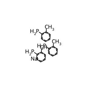 Cc1ccccc1P.Cc1ccccc1P.Cc1ccccc1P.[Na]